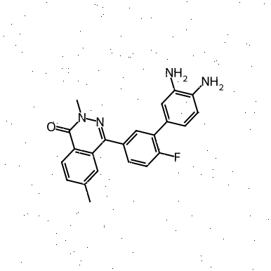 Cc1ccc2c(=O)n(C)nc(-c3ccc(F)c(-c4ccc(N)c(N)c4)c3)c2c1